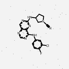 N#CN1CCC(Nc2ncc3ncnc(Nc4ccc(F)c(Cl)c4)c3n2)C1